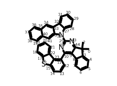 CC1(C)c2ccccc2-c2c(-c3cccc4sc5ccccc5c34)nc(-n3c4ccccc4c4cc5ccccc5cc43)nc21